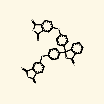 O=C1OC(=O)c2cc(Oc3ccc(C4(c5ccc(Oc6ccc7c(c6)C(=O)OC7=O)cc5)OC(=O)c5ccccc54)cc3)ccc21